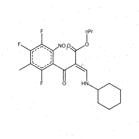 CCCOC(=O)/C(=C/NC1CCCCC1)C(=O)c1c(F)c(C)c(F)c(F)c1[N+](=O)[O-]